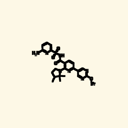 CC(C)Oc1ncc(-c2ccc(C(=O)NS(=O)(=O)c3cccc(N)n3)c(N3CCC(C)C3(C)C)n2)cn1